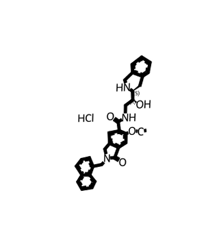 CCOc1cc2c(cc1C(=O)NC[C@@H](O)[C@@H]1Cc3ccccc3CN1)CN(Cc1cccc3ccccc13)C2=O.Cl